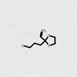 C=CC1(CCCCl)OCCO1